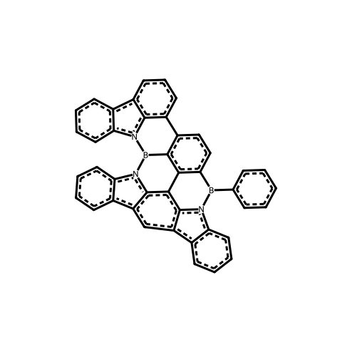 c1ccc(B2c3ccc4c5c3-c3c6c(cc7c8ccccc8n(c37)B5n3c5ccccc5c5cccc-4c53)c3ccccc3n62)cc1